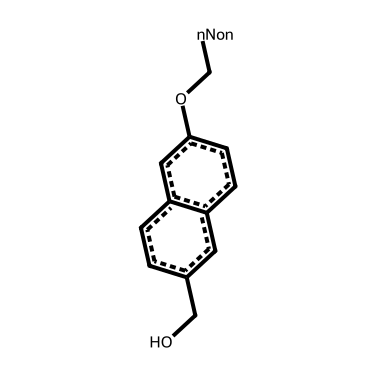 CCCCCCCCCCOc1ccc2cc(CO)ccc2c1